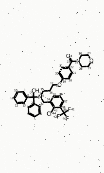 CC(c1ccccc1)(c1ccccc1)N(CCCOc1ccc(C(=O)N2CCOCC2)cc1)Cc1cccc(C(F)(F)F)c1Cl